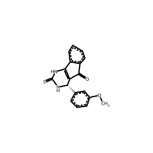 COc1cccc([C@@H]2NC(=S)NC3=C2C(=O)c2ccccc23)c1